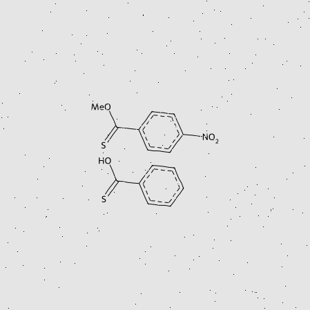 COC(=S)c1ccc([N+](=O)[O-])cc1.OC(=S)c1ccccc1